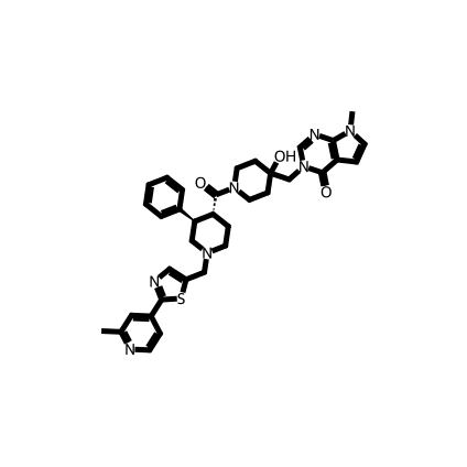 Cc1cc(-c2ncc(CN3CC[C@@H](C(=O)N4CCC(O)(Cn5cnc6c(ccn6C)c5=O)CC4)[C@H](c4ccccc4)C3)s2)ccn1